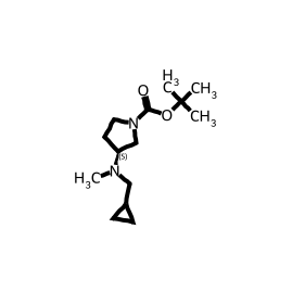 CN(CC1CC1)[C@H]1CCN(C(=O)OC(C)(C)C)C1